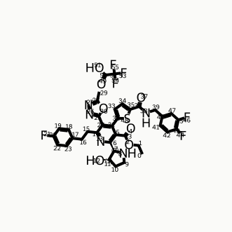 CCOC(=O)c1c([C@H]2NCC[C@@H]2O)nc(CCc2ccc(F)cc2)c(-c2nnc(C)o2)c1-c1ccc(C(=O)NCc2ccc(F)c(F)c2)s1.O=C(O)C(F)(F)F